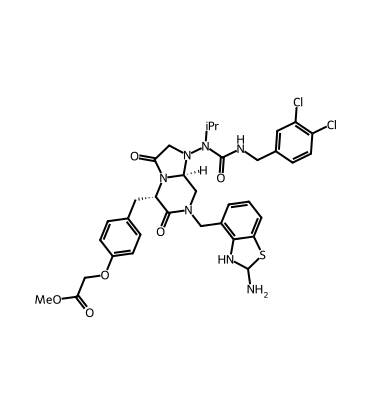 COC(=O)COc1ccc(C[C@H]2C(=O)N(Cc3cccc4c3NC(N)S4)C[C@H]3N2C(=O)CN3N(C(=O)NCc2ccc(Cl)c(Cl)c2)C(C)C)cc1